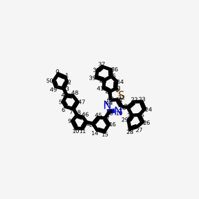 c1ccc(-c2ccc(-c3cccc(-c4cccc(-c5nc(-c6cccc7ccccc67)c6sc7cc8ccccc8cc7c6n5)c4)c3)cc2)cc1